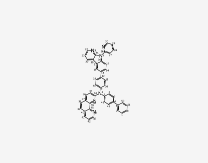 c1ccc(-c2ccc(N(c3ccc(-c4ccc5c(c4)c4cccnc4n5-c4ccccn4)cc3)c3ccc4ccc5cccnc5c4n3)cc2)cc1